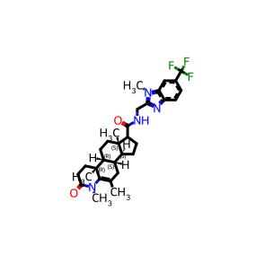 CC1=C2N(C)C(=O)CC[C@]2(C)[C@@H]2CC[C@]3(C)C(C(=O)NCc4nc5ccc(C(F)(F)F)cc5n4C)CC[C@H]3[C@@H]2C1